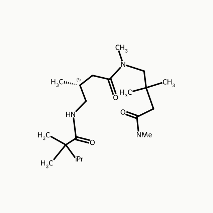 CNC(=O)CC(C)(C)CN(C)C(=O)C[C@@H](C)CNC(=O)C(C)(C)C(C)C